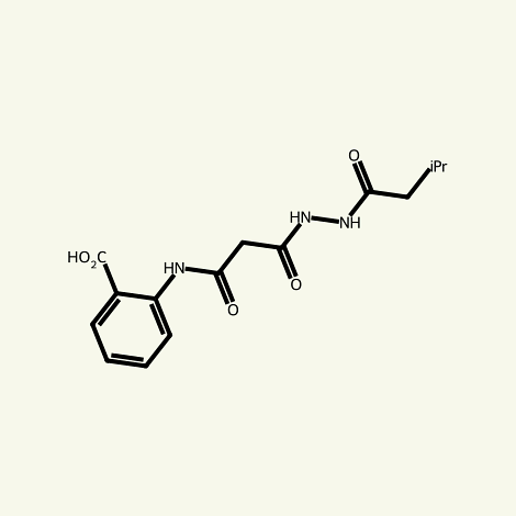 CC(C)CC(=O)NNC(=O)CC(=O)Nc1ccccc1C(=O)O